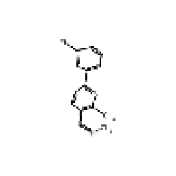 CCc1cccc(-c2ccc(/C=N\C)c(C)n2)c1